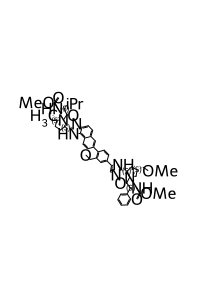 COC[C@H]1C[C@@H](c2ncc(-c3ccc4c(c3)COc3cc5c(ccc6nc([C@@H]7CC[C@H](C)N7C(=O)[C@@H](NC(=O)OC)C(C)C)[nH]c65)cc3-4)[nH]2)N(C(=O)[C@@H](NC(=O)OC)c2ccccc2)C1